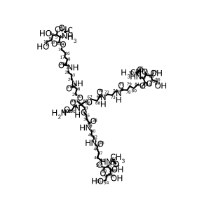 CC(=O)NC1C(O)[C@@H](O)C(CO)O[C@H]1OCCCCC(=O)NCCCNC(=O)CCOCC(COCCC(=O)NCCCNC(=O)CCCCO[C@@H]1OC(CO)[C@H](O)C(O)C1NC(C)=O)(COCCC(=O)NCCCNC(=O)CCCCO[C@@H]1OC(CO)[C@H](O)C(O)C1NC(C)=O)NC(=O)CON